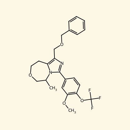 COc1cc(-c2nc(COCc3ccccc3)c3n2C(C)COCC3)ccc1OC(F)(F)F